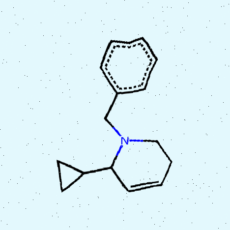 C1=CC(C2CC2)N(Cc2ccccc2)CC1